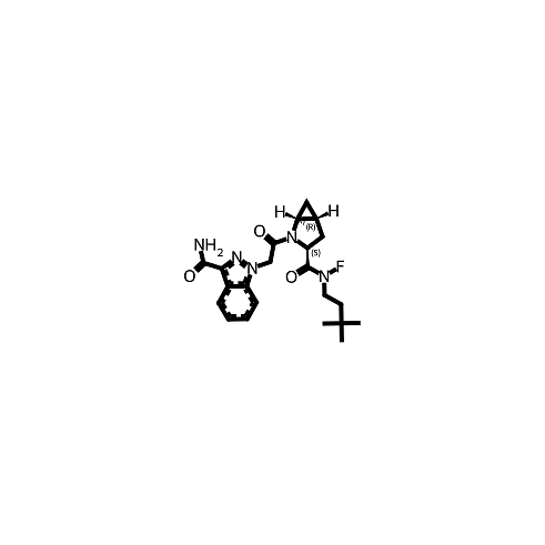 CC(C)(C)CCN(F)C(=O)[C@@H]1C[C@H]2C[C@H]2N1C(=O)Cn1nc(C(N)=O)c2ccccc21